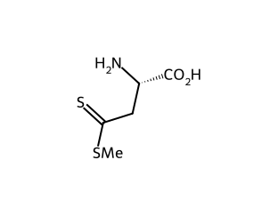 CSC(=S)C[C@H](N)C(=O)O